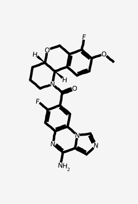 COc1ccc2c(c1F)CO[C@H]1CCCN(C(=O)c3cc4c(cc3F)nc(N)c3cncn34)[C@@H]21